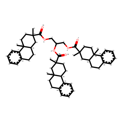 CC1(C(=O)OCC(COC(=O)C2(C)CCC3(C)c4ccccc4CCC3C2)OC(=O)C2(C)CCC3c4ccccc4CCC3(C)C2)CCC2(C)c3ccccc3CCC2C1